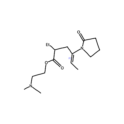 C/C=C(/CC(CC)C(=O)OCCN(C)C)N1CCCC1=O